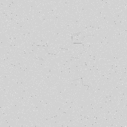 CN(C)CC(C)(C)CNc1cc(NCc2cccnc2)n2ncc(Br)c2n1